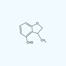 CC1COc2cccc(C=O)c21